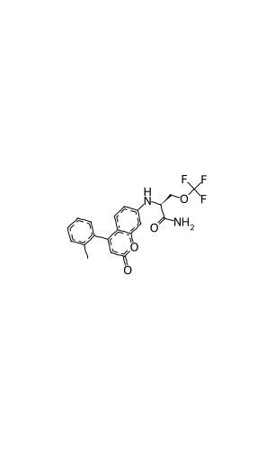 Cc1ccccc1-c1cc(=O)oc2cc(N[C@@H](COC(F)(F)F)C(N)=O)ccc12